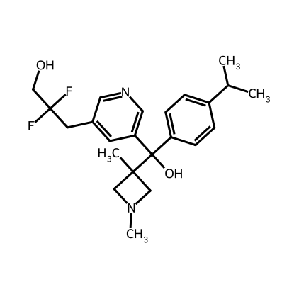 CC(C)c1ccc(C(O)(c2cncc(CC(F)(F)CO)c2)C2(C)CN(C)C2)cc1